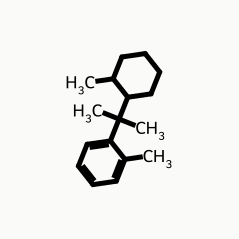 Cc1ccccc1C(C)(C)C1CCCCC1C